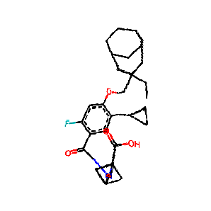 CCC1(COc2cc(F)c(C(=O)N3CC4CC3(C(=O)O)C4)cc2C2CC2)CC2CCCC(C2)C1